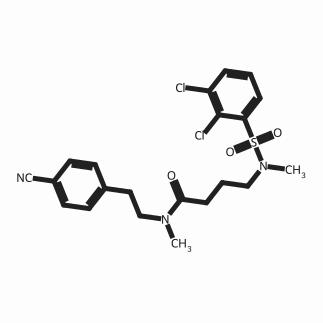 CN(CCc1ccc(C#N)cc1)C(=O)CCCN(C)S(=O)(=O)c1cccc(Cl)c1Cl